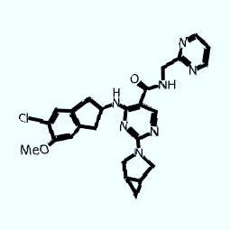 COc1cc2c(cc1Cl)CC(Nc1nc(N3CC4CC4C3)ncc1C(=O)NCc1ncccn1)C2